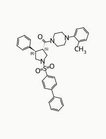 Cc1ccccc1N1CCN(C(=O)[C@@H]2CN(S(=O)(=O)c3ccc(-c4ccccc4)cc3)C[C@H]2c2ccccc2)CC1